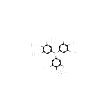 COc1c(C)cc(P(c2cc(C)c(C)c(C)c2)c2cc(C)c(C)c(C)c2)cc1C